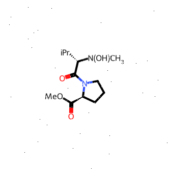 COC(=O)[C@@H]1CCCN1C(=O)[C@H](C(C)C)N(C)O